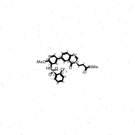 CNC(=O)CCn1cnc2ccc(-c3cnc(OC)c(NS(=O)(=O)c4ccccc4C(F)(F)F)c3)cc2c1=O